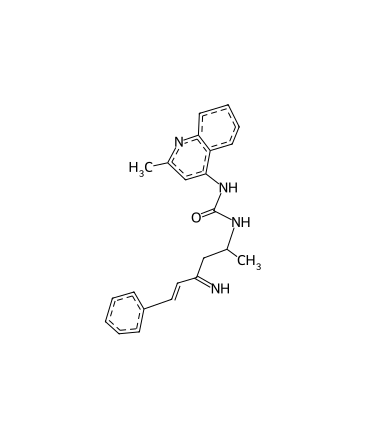 Cc1cc(NC(=O)NC(C)CC(=N)C=Cc2ccccc2)c2ccccc2n1